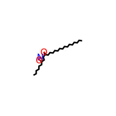 CCCCCCCCCCCCCCCC(=O)C1=NOC(CCCCCC)C1